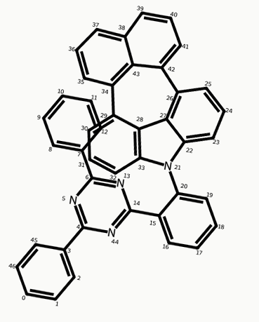 c1ccc(-c2nc(-c3ccccc3)nc(-c3ccccc3-n3c4cccc5c4c4c(cccc43)-c3cccc4cccc-5c34)n2)cc1